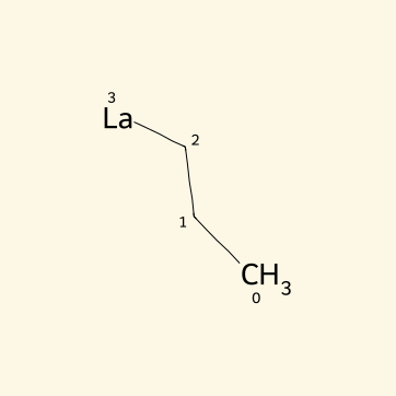 CC[CH2][La]